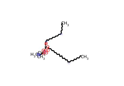 CCCCCC/C=C\CCCCCCCC/C=C\OC[C@H](COP(=O)([O-])OCC[N+](C)(C)C)OC(=O)CCCCCCCCCCCCC/C=C\CCCCCCCC